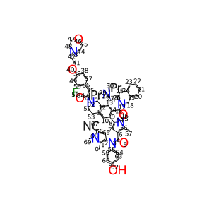 Cc1c(N(C(=O)c2cc(-c3cc4c(cc3C(=O)N3Cc5ccccc5C[C@H]3CN(C(C)C)C(C)C)CN(C(=O)Cc3ccc(OCCN5CCOCC5)cc3F)CC4)n(C)c2C)c2ccc(O)cc2)cc(C#N)n1C